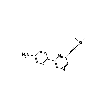 C[Si](C)(C)C#Cc1cncc(-c2ccc(N)cc2)n1